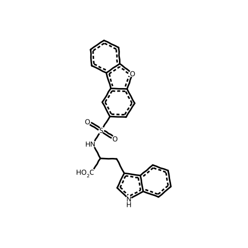 O=C(O)C(Cc1c[nH]c2ccccc12)NS(=O)(=O)c1ccc2oc3ccccc3c2c1